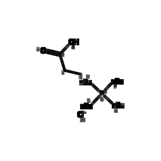 CCC(=O)O.CCCC[P+](CCCC)(CCCC)CCCC.[Cl-]